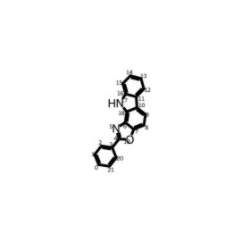 c1ccc(-c2nc3c(ccc4c5ccccc5[nH]c43)o2)cc1